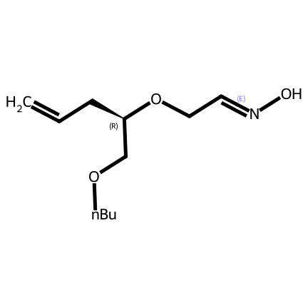 C=CC[C@H](COCCCC)OC/C=N/O